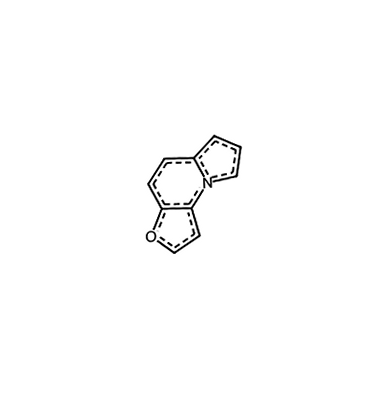 c1cc2ccc3occc3n2c1